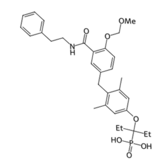 CCC(CC)(Oc1cc(C)c(Cc2ccc(OCOC)c(C(=O)NCCc3ccccc3)c2)c(C)c1)P(=O)(O)O